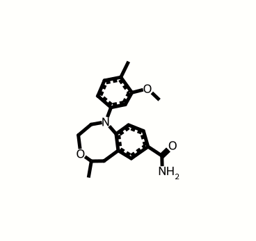 COc1cc(N2CCOC(C)Cc3cc(C(N)=O)ccc32)ccc1C